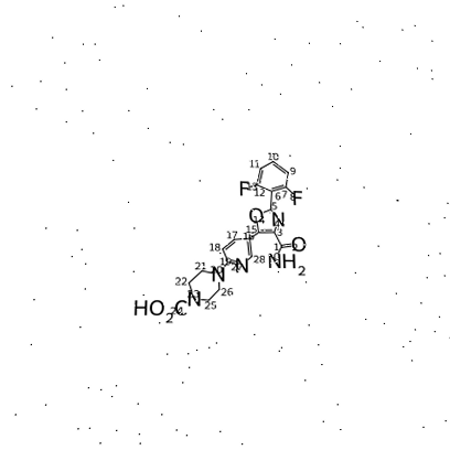 NC(=O)c1nc(-c2c(F)cccc2F)oc1-c1ccc(N2CCN(C(=O)O)CC2)nc1